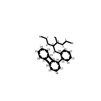 CCCC(C)C(CCC)Cc1ccccc1-c1cccc2c1=c1ccccc1=2